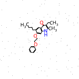 CCCCc1cc2c(=O)c(CC)c(C)[nH]c2cc1OCCOc1ccccc1